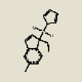 CC[C]1([Zr]([Cl])([Cl])[CH]2C=CC=C2)C=Cc2cc(C)ccc21